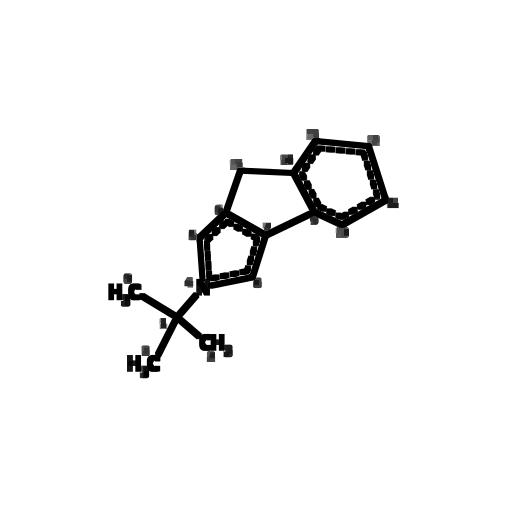 CC(C)(C)n1cc2c(c1)-c1ccccc1C2